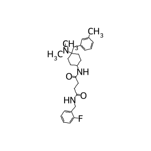 Cc1cccc(CC2(N(C)C)CCC(NC(=O)CCC(=O)NCc3ccccc3F)CC2)c1